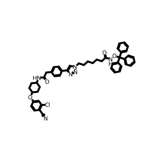 N#Cc1ccc(OC2CCC(NC(=O)Cc3ccc(-c4cn(CCCCCCC(=O)NOC(c5ccccc5)(c5ccccc5)c5ccccc5)nn4)cc3)CC2)cc1Cl